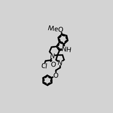 COc1ccc2[nH]c3c(c2c1)CCN(C(=O)CCl)C31CCN(CCOc2ccccc2)C1